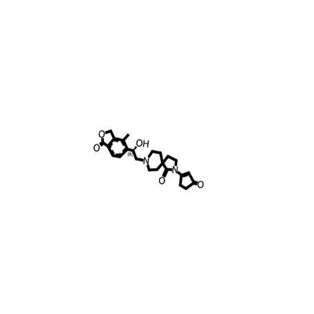 Cc1c([C@@H](O)CN2CCC3(CC2)CCN(C2=CC(=O)CC2)C3=O)ccc2c1COC2=O